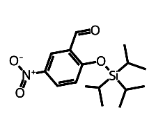 CC(C)[Si](Oc1ccc([N+](=O)[O-])cc1C=O)(C(C)C)C(C)C